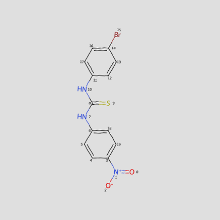 O=[N+]([O-])c1ccc(NC(=S)Nc2ccc(Br)cc2)cc1